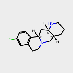 Clc1ccc2c(c1)CCN1C[C@H]3CCCN[C@H]3C[C@@H]21